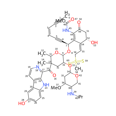 CC#C/C=C\C#C[C@H](OC1OC(C)C(C)(C(=O)c2nccc3c2[nH]c2ccc(O)cc23)CC1OC1CC(OC)C(NC(C)C)CO1)C1=C(NC(=O)OC)C(=O)C[C@H](O)/C1=C/CS(C)(=S)=S